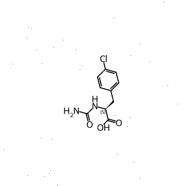 NC(=O)N[C@@H](Cc1ccc(Cl)cc1)C(=O)O